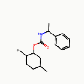 CC1CCC(C(C)C)C(OC(=O)NC(C)c2ccccc2)C1